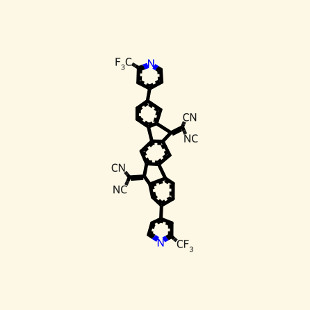 [C-]#[N+]/C(C#N)=C1/c2cc(-c3ccnc(C(F)(F)F)c3)ccc2-c2cc3c(cc21)-c1ccc(-c2ccnc(C(F)(F)F)c2)cc1/C3=C(\C#N)[N+]#[C-]